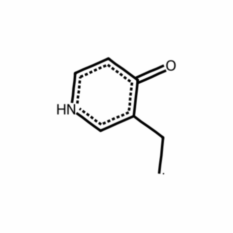 [CH2]Cc1c[nH]ccc1=O